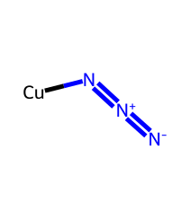 [N-]=[N+]=[N][Cu]